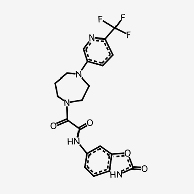 O=C(Nc1ccc2[nH]c(=O)oc2c1)C(=O)N1CCCN(c2ccc(C(F)(F)F)nc2)CC1